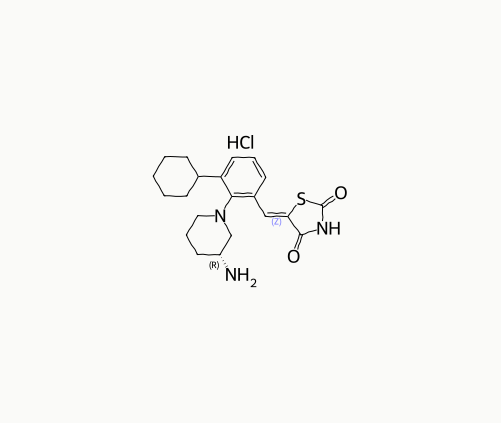 Cl.N[C@@H]1CCCN(c2c(/C=C3\SC(=O)NC3=O)cccc2C2CCCCC2)C1